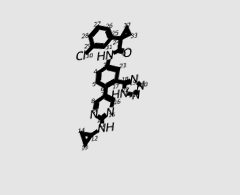 O=C(Nc1ccc(-c2cnc(NC3CC3)nc2)c(-c2nnn[nH]2)c1)C1(c2cccc(Cl)c2)CC1